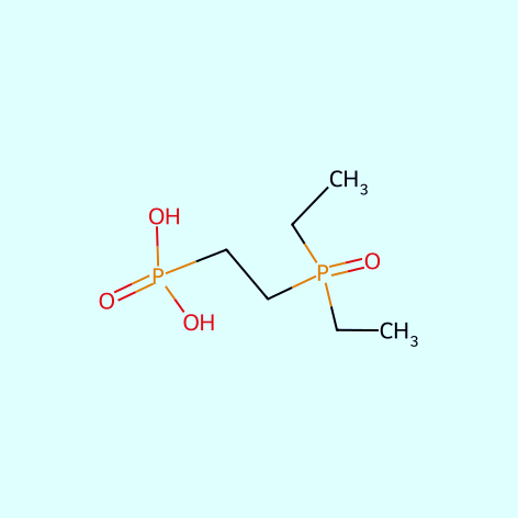 CCP(=O)(CC)CCP(=O)(O)O